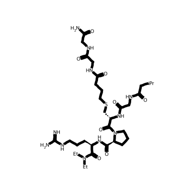 CCN(CC)C(=O)[C@@H](CCCNC(=N)N)NC(=O)[C@@H]1CCCN1C(=O)[C@H](CSCCCC(=O)NCC(=O)NCC(N)=O)NC(=O)CNC(=O)CC(C)C